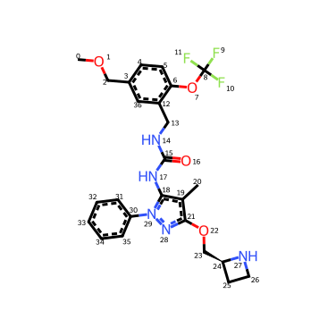 COCc1ccc(OC(F)(F)F)c(CNC(=O)Nc2c(C)c(OC[C@@H]3CCN3)nn2-c2ccccc2)c1